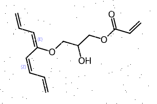 C=C/C=C\C(=C/C=C)OCC(O)COC(=O)C=C